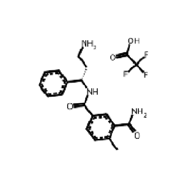 Cc1ccc(C(=O)N[C@@H](CCN)c2ccccc2)cc1C(N)=O.O=C(O)C(F)(F)F